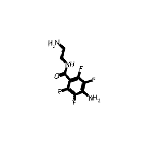 NCCNC(=O)c1c(F)c(F)c(N)c(F)c1F